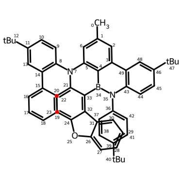 Cc1cc2c3c(c1)N(c1ccc(C(C)(C)C)cc1-c1ccccc1)c1ccc4oc5ccccc5c4c1B3N(c1ccc(C(C)(C)C)cc1)c1ccc(C(C)(C)C)cc1-2